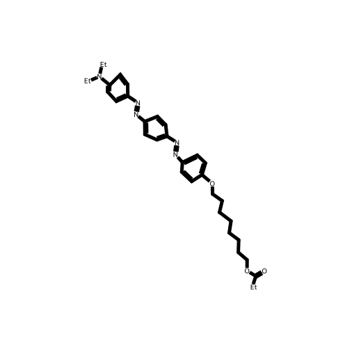 CCC(=O)OCCCCCCCCOc1ccc(N=Nc2ccc(N=Nc3ccc(N(CC)CC)cc3)cc2)cc1